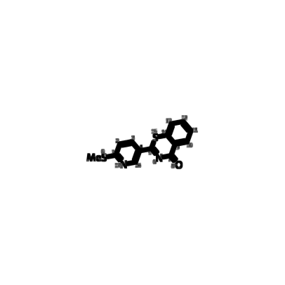 CSc1ccc(-c2nc(=O)c3ccccc3s2)cn1